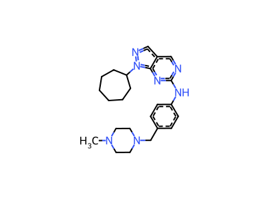 CN1CCN(Cc2ccc(Nc3ncc4cnn(C5CCCCCC5)c4n3)cc2)CC1